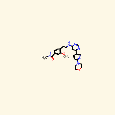 CNC(=O)c1ccc(CCNc2cc(-c3ccc(N4CCOCC4)nc3)ncn2)c(OC)c1